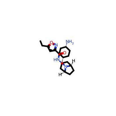 CCc1cc(C(=O)N[C@H]2C[C@H]3CC[C@@H](C2)N3C[C@H]2CC[C@@H](N)CC2)no1